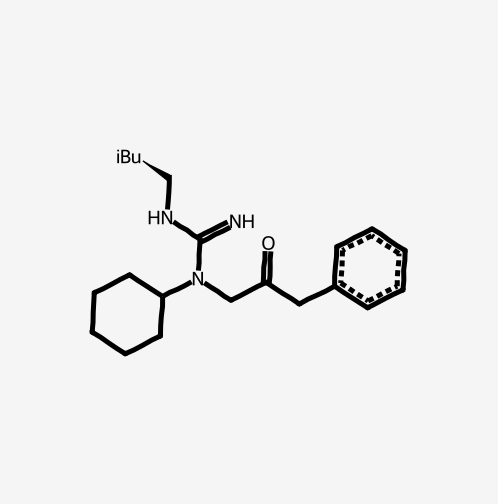 CC[C@H](C)CNC(=N)N(CC(=O)Cc1ccccc1)C1CCCCC1